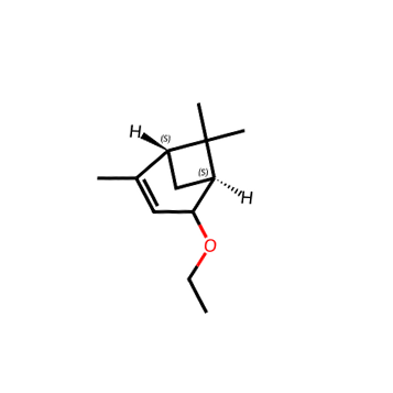 CCOC1C=C(C)[C@H]2C[C@H]1C2(C)C